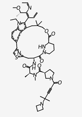 C=C/C(=C(\N=C/C)[C@H](C)OC)c1c2c3cc(ccc3n1CC)-c1csc(n1)C[C@H](NC(=O)[C@H](C)N(C)C(=O)[C@H]1CCN(C(=O)C#CC(C)(C)N3CCC3)C1)C(=O)N1CCC[C@](C=O)(COCC(C)(C)C2)N1